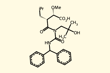 CO[C@H](C(=O)O)[C@@H](CC(C)C)C(=O)N(CC(C)(C)O)C(=O)NC(c1ccccc1)c1ccccc1